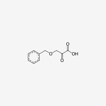 O=C(O)C(=O)COCc1ccccc1